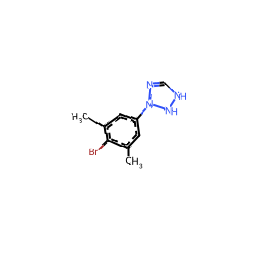 Cc1cc(N2N=CNN2)cc(C)c1Br